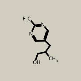 CC(CO)Cc1cnc(C(F)(F)F)nc1